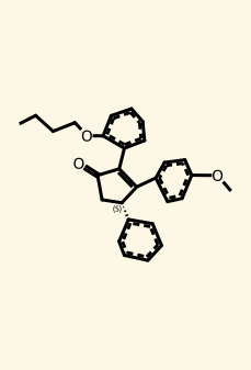 CCCCOc1ccccc1C1=C(c2ccc(OC)cc2)[C@H](c2ccccc2)CC1=O